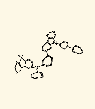 CC1(C)c2ccccc2-c2cc(N(c3ccccc3)c3cccc(-c4ccc5c6ccccc6n(-c6ccc(-c7ccccc7)cc6)c5c4)c3)ccc21